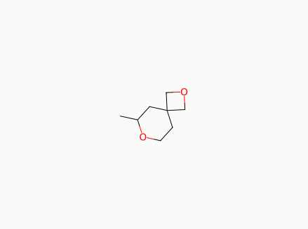 CC1CC2(CCO1)COC2